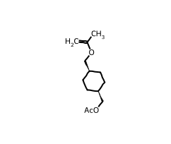 C=C(C)OC[C@H]1CC[C@@H](COC(C)=O)CC1